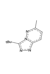 Cc1ccc2nnc(C(C)(C)C)n2n1